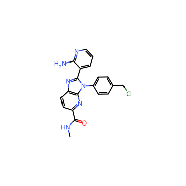 CNC(=O)c1ccc2nc(-c3cccnc3N)n(-c3ccc(CCl)cc3)c2n1